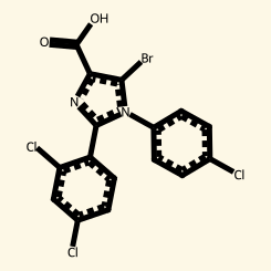 O=C(O)c1nc(-c2ccc(Cl)cc2Cl)n(-c2ccc(Cl)cc2)c1Br